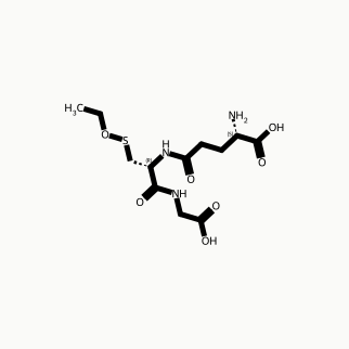 CCOSC[C@H](NC(=O)CC[C@H](N)C(=O)O)C(=O)NCC(=O)O